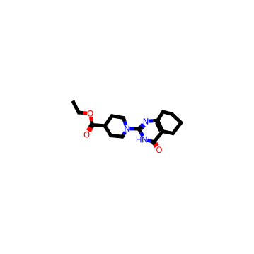 CCOC(=O)C1CCN(c2nc3c(c(=O)[nH]2)CCCC3)CC1